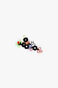 CC1(C(=O)N2CC[C@@]3(S(=O)(=O)c4ccc(F)cc4)c4ccc(C(F)(C(F)(F)F)C(F)(F)F)cc4CC[C@@H]23)CCC(C(=O)O)CC1